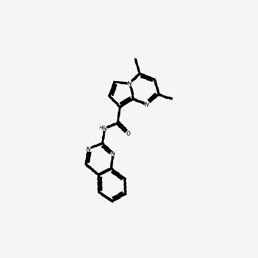 Cc1cc(C)n2ccc(C(=O)Nc3ncc4ccccc4n3)c2n1